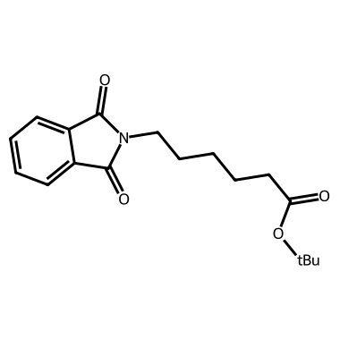 CC(C)(C)OC(=O)CCCCCN1C(=O)c2ccccc2C1=O